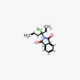 C=CCC(Br)(C=C)N1C(=O)c2ccccc2C1=O